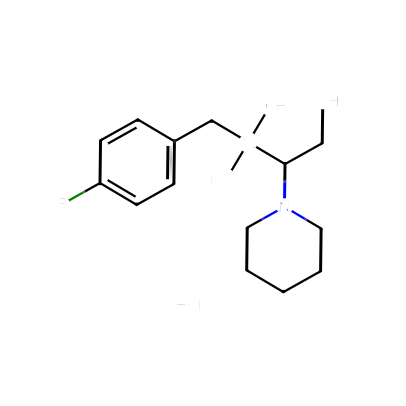 CCC(N1CCCCC1)[Si](C)(C)Cc1ccc(F)cc1.Cl